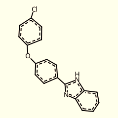 Clc1ccc(Oc2ccc(-c3nc4ccccc4[nH]3)cc2)cc1